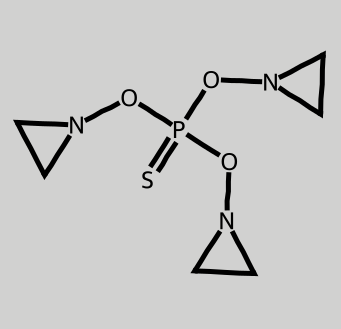 S=P(ON1CC1)(ON1CC1)ON1CC1